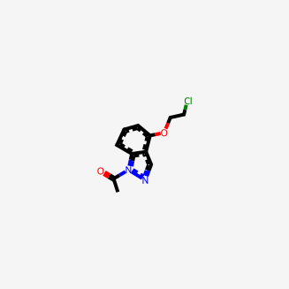 CC(=O)n1ncc2c(OCCCl)cccc21